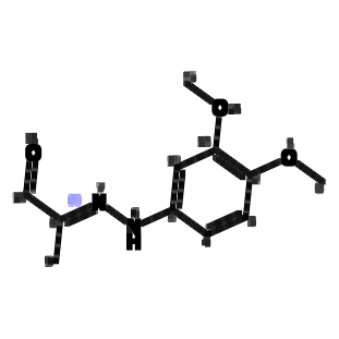 COc1ccc(N/N=C(\C)C=O)cc1OC